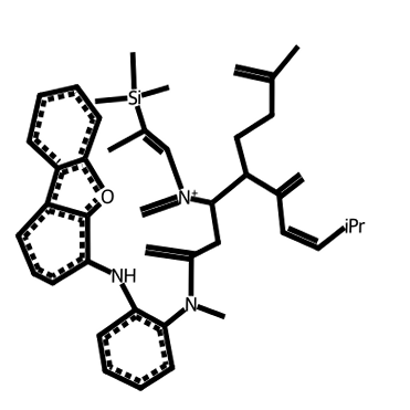 C=C(C)CCC(C(=C)/C=C\C(C)C)C(CC(=C)N(C)c1ccccc1Nc1cccc2c1oc1ccccc12)[N+](=C)/C=C(\C)[Si](C)(C)C